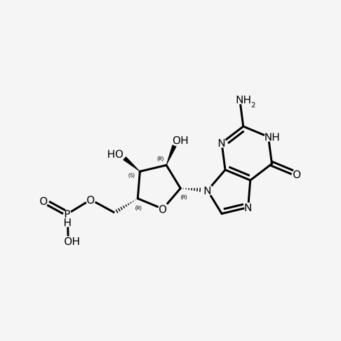 Nc1nc2c(ncn2[C@@H]2O[C@H](CO[PH](=O)O)[C@@H](O)[C@H]2O)c(=O)[nH]1